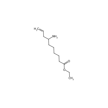 C=CCC(N)CCCCCC(=O)OCC